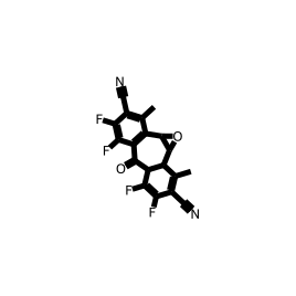 CC1=C(C#N)C(F)=C(F)C2C(=O)c3c(F)c(F)c(C#N)c(C)c3C3OC3C12